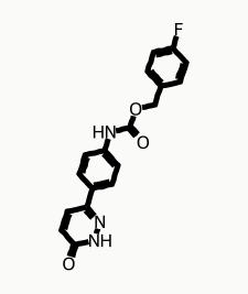 O=C(Nc1ccc(-c2ccc(=O)[nH]n2)cc1)OCc1ccc(F)cc1